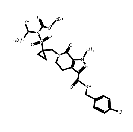 CC(C)C(C(=O)O)N(C(=O)OC(C)(C)C)S(=O)(=O)C1(CN2CCc3c(C(=O)NCc4ccc(Cl)cc4)nn(C)c3C2=O)CC1